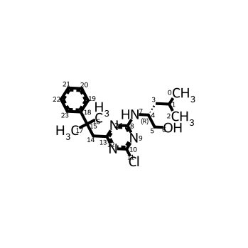 CC(C)C[C@H](CO)Nc1nc(Cl)nc(CC(C)(C)c2ccccc2)n1